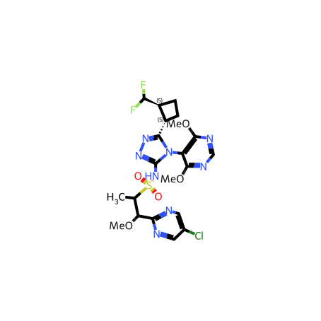 COc1ncnc(OC)c1-n1c(NS(=O)(=O)C(C)C(OC)c2ncc(Cl)cn2)nnc1[C@H]1CC[C@@H]1C(F)F